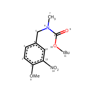 COc1ccc(CN(C)C(=O)OC(C)(C)C)cc1[N+](=O)[O-]